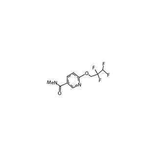 CNC(=O)c1ccc(OCC(F)(F)C(F)F)nc1